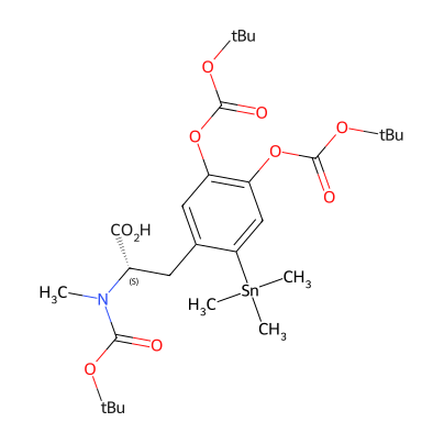 CN(C(=O)OC(C)(C)C)[C@@H](Cc1cc(OC(=O)OC(C)(C)C)c(OC(=O)OC(C)(C)C)c[c]1[Sn]([CH3])([CH3])[CH3])C(=O)O